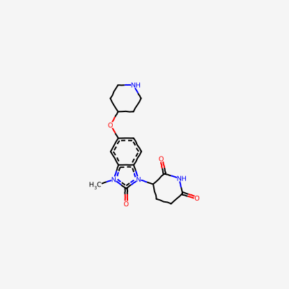 Cn1c(=O)n(C2CCC(=O)NC2=O)c2ccc(OC3CCNCC3)cc21